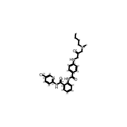 CCCCN(C)CC(=O)CNc1ccc(C(=O)Nc2ccccc2C(=O)Nc2ccc(Cl)cn2)cc1